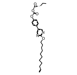 C=CCCCCCCCCCOc1ncc(-c2ccc(OC(=O)O[C@H]3O[C@@H]3CCC)cc2)cn1